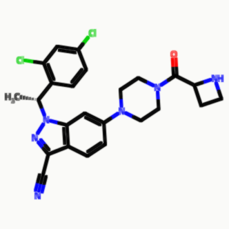 C[C@H](c1ccc(Cl)cc1Cl)n1nc(C#N)c2ccc(N3CCN(C(=O)C4CCN4)CC3)cc21